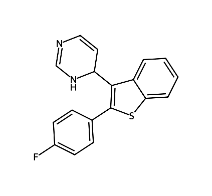 Fc1ccc(-c2sc3ccccc3c2C2C=CN=CN2)cc1